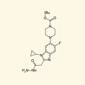 CC(C)(C)OC(=O)N1CCN(c2cc3c(cc2F)nc(CC(=O)NN)n3C2CC2)CC1